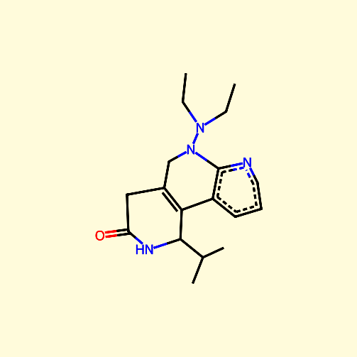 CCN(CC)N1CC2=C(c3cccnc31)C(C(C)C)NC(=O)C2